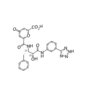 O=C(O)c1cc(=O)cc(C(=O)N[C@@H](Cc2ccccc2)[C@H](O)C(=O)Nc2cccc(-c3nn[nH]n3)c2)o1